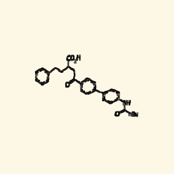 CCCCC(=O)Nc1ccc(-c2ccc(C(=O)CC(CCc3ccccc3)C(=O)O)cc2)cc1